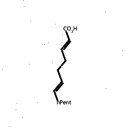 CCCCCC=CCCC=CC(=O)O